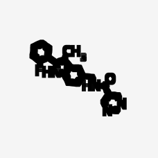 Cc1c(-c2ccccc2F)[nH]c2ccc(CNC(=O)c3cncnc3)cc12